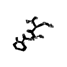 CCCCOCN(C(=O)[C@@H](NC(=O)[C@H]1CCCCN1C)C(C)CC)[C@H](CC)C(C)C